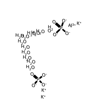 O.O.O.O.O.O.O.O.O.O.O.O.O=P([O-])([O-])[O-].O=P([O-])([O-])[O-].[Al+3].[K+].[K+].[K+]